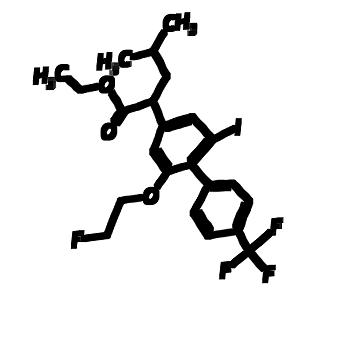 CCOC(=O)C(CC(C)C)c1cc(I)c(-c2ccc(C(F)(F)F)cc2)c(OCCF)c1